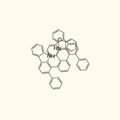 c1ccc(-c2ccc3c([nH]c4ccccc43)c2-c2cccc(-c3c(-c4ccccc4)ccc4c3[nH]c3ccccc34)c2-c2cccc3oc4ccccc4c23)cc1